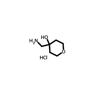 Cl.NCC1(O)CCOCC1